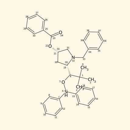 CC(C)(C)C(O[SiH](c1ccccc1)c1ccccc1)[C@@H]1C[C@H](OC(=O)c2ccccc2)CN1Cc1ccccc1